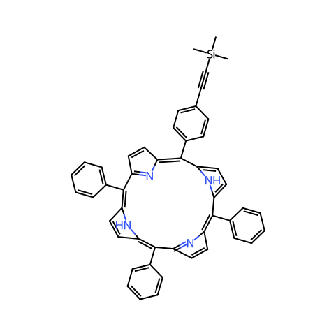 C[Si](C)(C)C#Cc1ccc(-c2c3nc(c(-c4ccccc4)c4ccc([nH]4)c(-c4ccccc4)c4nc(c(-c5ccccc5)c5ccc2[nH]5)C=C4)C=C3)cc1